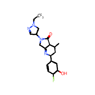 CC1CC(C2C=CC(F)C(O)C2)N=C2CN(C3C=NN(CC(F)(F)F)C3)C(=O)C21